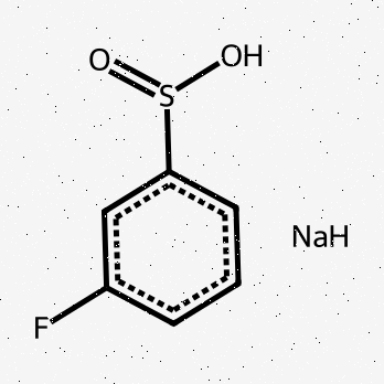 O=S(O)c1cccc(F)c1.[NaH]